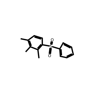 Cc1ccc(S(=O)(=O)c2ccccc2)c(C)c1C